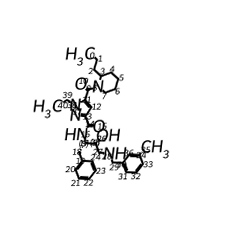 CCCC1CCCCN1C(=O)c1cc(C(=O)N[C@@H](Cc2ccccc2)[C@@H](O)CNCc2cccc(C)c2)nn1CC